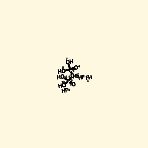 F.F.F.F.O=P(O)(O)OP(=O)(O)O